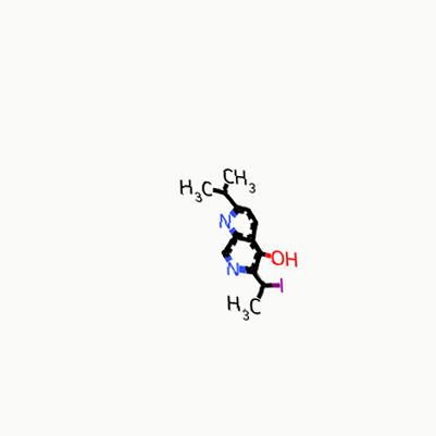 CC(C)c1ccc2c(O)c(C(C)I)ncc2n1